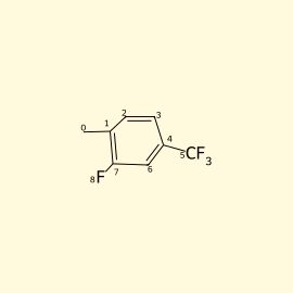 Cc1ccc(C(F)(F)F)cc1F